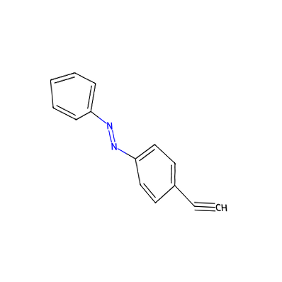 C#Cc1ccc(N=Nc2ccccc2)cc1